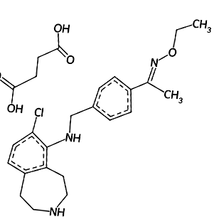 CCON=C(C)c1ccc(CNc2c(Cl)ccc3c2CCNCC3)cc1.O=C(O)CCC(=O)O